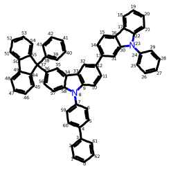 c1ccc(-c2ccc(-n3c4ccc(-c5ccc6c7ccccc7n(-c7ccccc7)c6c5)cc4c4cc(C5(c6ccccc6)c6ccccc6-c6ccccc65)ccc43)cc2)cc1